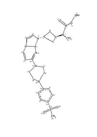 CN(C(=O)OC(C)(C)C)[C@H]1C[C@H](N2C=CC3C=CC(N4CCN(c5ccc(S(C)(=O)=O)cc5)CC4)=NC32)C1